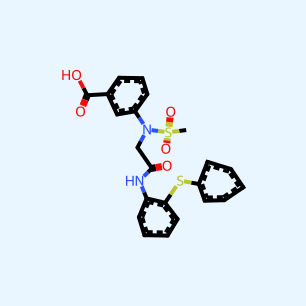 CS(=O)(=O)N(CC(=O)Nc1ccccc1Sc1ccccc1)c1cccc(C(=O)O)c1